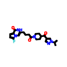 CC(C)n1cc(C(=O)C2CCN(C(=O)CCCc3cn4c(F)ccc4c(=O)[nH]3)CC2)cn1